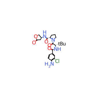 CC(C)(C)[C@H](NC(=O)c1ccc(N)c(Cl)c1)C(=O)N1CCC[C@H]1C(=O)N[C@@H]1COC(=O)C1